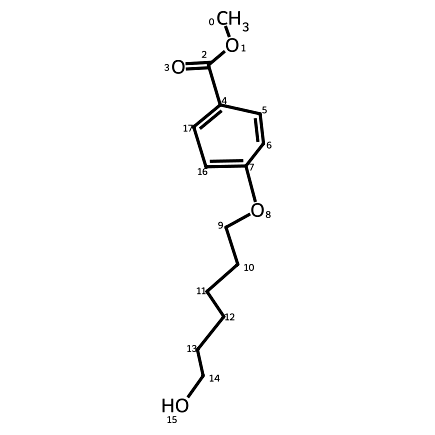 COC(=O)c1ccc(OCCCCCCO)cc1